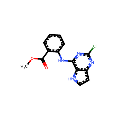 COC(=O)c1ccccc1Nc1nc(Cl)nc2cc[nH]c12